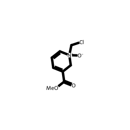 COC(=O)C1=CC=C[N+]([O-])(CCl)C1